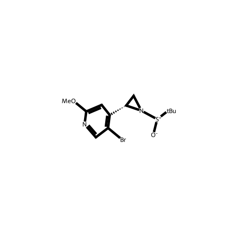 COc1cc([C@@H]2CN2[S+]([O-])C(C)(C)C)c(Br)cn1